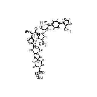 Cc1ncsc1-c1ccc(C(C)NC(=O)[C@@H]2C[C@@H](O)CN2C(=O)C(c2cc(N3CCN(CC4(F)CCN(C(=O)OC(C)(C)C)CC4)C[C@H]3C)no2)C(C)C)cc1